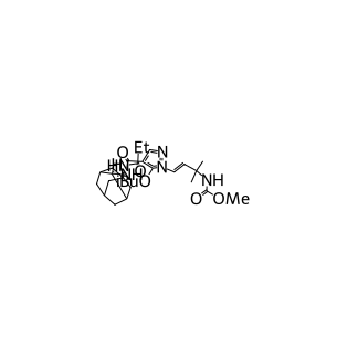 CCC(=O)N[C@]12CC3CC(C1)[C@@H](NC(=O)c1cnn(/C=C/C(C)(C)NC(=O)OC)c1OCC(C)C)C(C3)C2